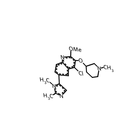 COc1nc2ccc(-c3cnc(C)n3C)cc2c(Cl)c1OC1CCCN(C)C1